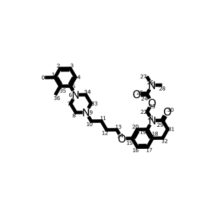 Cc1cccc(N2CCN(CCCCOc3ccc4c(c3)N(COC(=O)N(C)C)C(=O)CC4)CC2)c1C